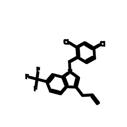 C=CCc1cn(Cc2ccc(Cl)cc2Cl)c2cc(C(F)(F)F)ccc12